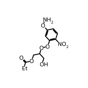 CCC(=O)OCC(CO)OOc1cc(ON)ccc1[N+](=O)[O-]